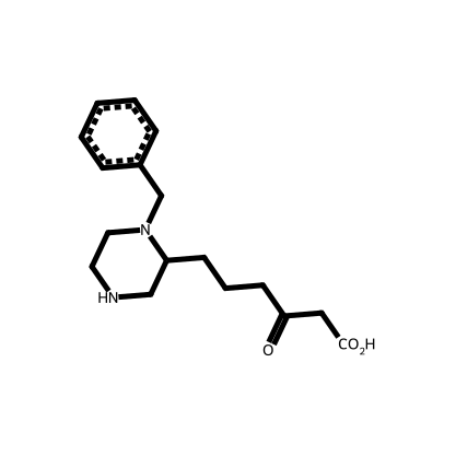 O=C(O)CC(=O)CCCC1CNCCN1Cc1ccccc1